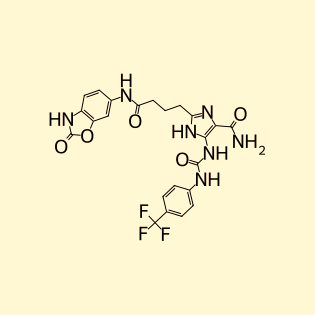 NC(=O)c1nc(CCCC(=O)Nc2ccc3[nH]c(=O)oc3c2)[nH]c1NC(=O)Nc1ccc(C(F)(F)F)cc1